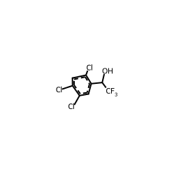 OC(c1cc(Cl)c(Cl)cc1Cl)C(F)(F)F